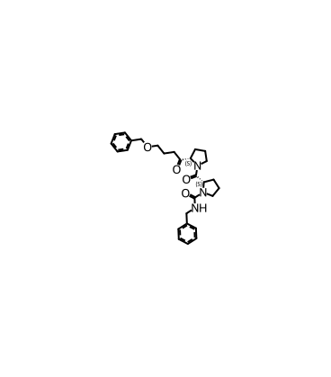 O=C(CCCOCc1ccccc1)[C@@H]1CCCN1C(=O)[C@@H]1CCCN1C(=O)NCc1ccccc1